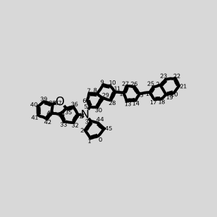 c1ccc(N(c2ccc3ccc(-c4ccc(-c5ccc6ccccc6c5)cc4)cc3c2)c2ccc3c(c2)oc2ccccc23)cc1